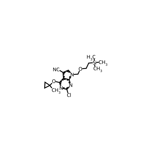 CC1(Oc2nc(Cl)nc3c2c(C#N)cn3COCC[Si](C)(C)C)CC1